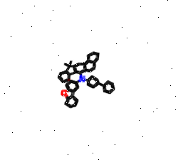 CC1(C)c2ccccc2-c2c1cc1c(ccc3ccccc31)c2N(c1ccc(-c2ccccc2)cc1)c1ccc2oc3ccccc3c2c1